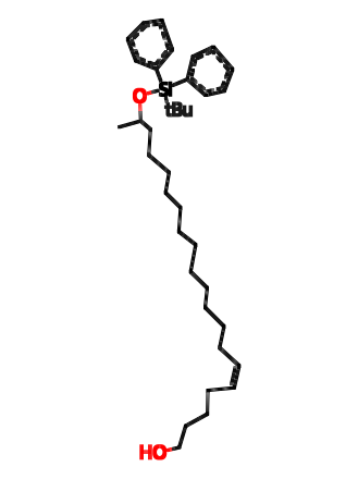 CC(CCCCCCCCCCCC/C=C\CCCCO)O[Si](c1ccccc1)(c1ccccc1)C(C)(C)C